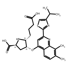 Cc1ccc2c(O[C@@H]3C[C@@H](C(=O)O)N[C@@H]3CCCC(=O)O)cc(-c3nc(C(C)C)cs3)nc2c1C